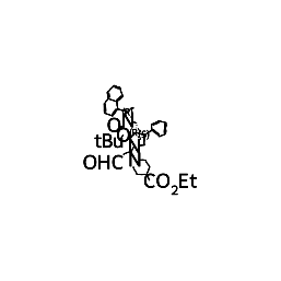 CCOC(=O)C1CCN(C(CC=O)N2C[C@H](CN(C(=O)OC(C)(C)C)[C@H](C)c3cccc4ccccc34)[C@@H](c3ccccc3)C2)CC1